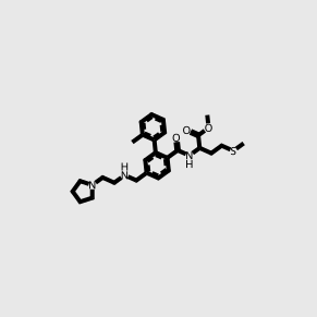 COC(=O)C(CCSC)NC(=O)c1ccc(CNCCN2CCCC2)cc1-c1ccccc1C